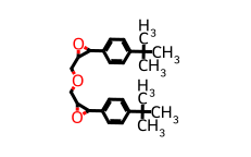 CC(C)(C)c1ccc(C2OC2COCC2OC2c2ccc(C(C)(C)C)cc2)cc1